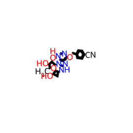 C[C@H]1O[C@@H](n2c(N[C@H]3C[C@@H](O)C3)nc3c(OCc4ccc(C#N)cc4)ncnc32)[C@H](O)[C@@H]1O